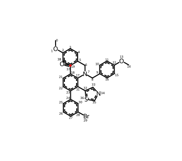 COc1ccc(CN(Cc2ccc(OC)cc2)c2c(C=O)ccc(-c3cccc(Br)c3)c2-c2cncs2)cc1